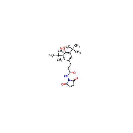 CC(C)(C)c1cc(CCC(=O)NN2C(=O)C=CC2=O)cc(C(C)(C)C)c1O